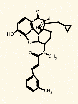 Cc1cccc(/C=C/C(=O)N(C)C2CC[C@@]3(O)[C@H]4C(=O)c5ccc(O)c6c5[C@@]3(CCN4CC3CC3)C2O6)c1